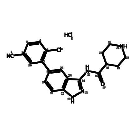 Cl.N#Cc1ccc(Cl)c(-c2ccc3[nH]nc(NC(=O)C4CCNCC4)c3c2)c1